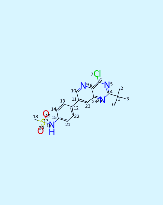 CC(C)(C)c1nc(Cl)c2ncc(-c3ccc(NS(C)(=O)=O)cc3)cc2n1